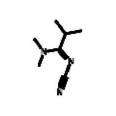 CC(C)/C(=N/C#N)N(C)C